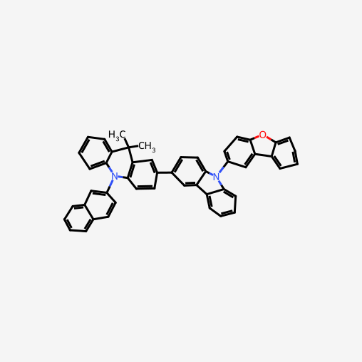 CC1(C)c2ccccc2N(c2ccc3ccccc3c2)c2ccc(-c3ccc4c(c3)c3ccccc3n4-c3ccc4oc5ccccc5c4c3)cc21